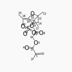 C=C(C)C(=O)OCC(=O)OC1(C)C2(C)CC3C(O2)C1(C)OS3(=O)=O